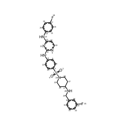 O=S(=O)(c1ccc(Nc2nccc(Nc3ccc(F)cc3)n2)cc1)N1CCC(NCc2cccc(F)c2)CC1